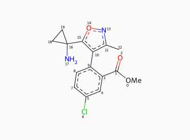 COC(=O)c1cc(Cl)ccc1-c1c(C)noc1C1(N)CC1